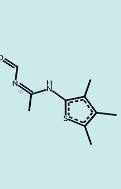 C/C(=N/C=O)Nc1sc(C)c(C)c1C